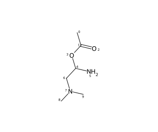 CC(=O)OC(N)CN(C)C